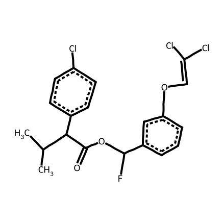 CC(C)C(C(=O)OC(F)c1cccc(OC=C(Cl)Cl)c1)c1ccc(Cl)cc1